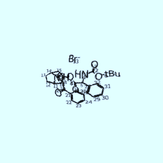 CC(C)(C)OC(=O)NC(C(=O)OC1CC2CCC(C1)[N+]2(C)CC(=O)c1ccccc1)c1ccccc1.[Br-]